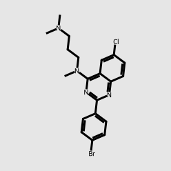 CN(C)CCCN(C)c1nc(-c2ccc(Br)cc2)nc2ccc(Cl)cc12